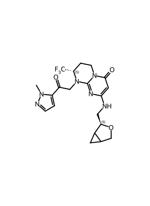 Cn1nccc1C(=O)CN1c2nc(NC[C@H]3OCC4CC43)cc(=O)n2CC[C@H]1C(F)(F)F